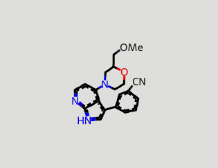 COCC1CN(c2ccnc3[nH]cc(-c4cccc(C#N)c4)c23)CCO1